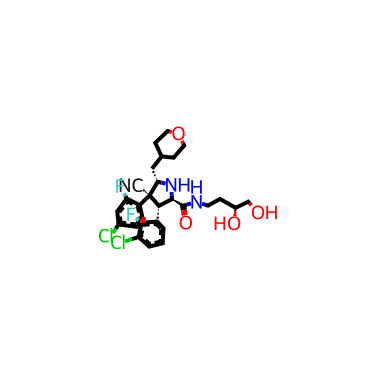 N#C[C@]1(c2ccc(Cl)cc2F)[C@H](CC2CCOCC2)N[C@@H](C(=O)NCC[C@H](O)CO)[C@@H]1c1cccc(Cl)c1F